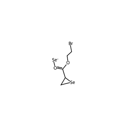 [Se-][O+]=C(OCCBr)C1C[Se]1